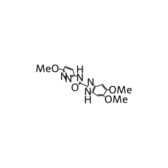 COc1ccc(NC(=O)c2nc3cc(OC)c(OC)cc3[nH]2)nn1